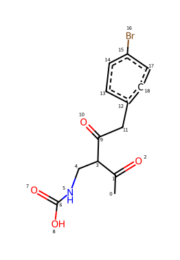 CC(=O)C(CNC(=O)O)C(=O)Cc1ccc(Br)cc1